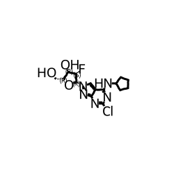 OC[C@H]1O[C@@H](n2cc3c(NC4CCCC4)nc(Cl)nc3n2)[C@@H](F)[C@@H]1O